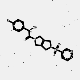 O=C([C@H](O)c1ccc(F)cc1)N1CC2=C(C1)CN(S(=O)(=O)c1cccnc1)C2